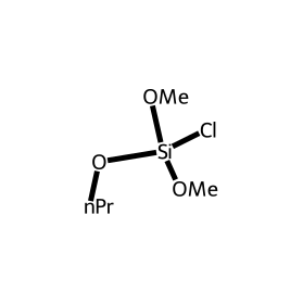 CCCO[Si](Cl)(OC)OC